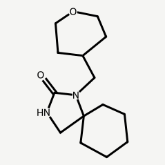 O=C1NCC2(CCCCC2)N1CC1CCOCC1